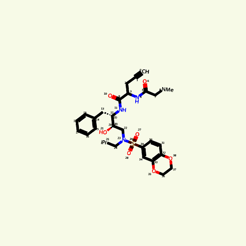 C#CCC(NC(=O)CNC)C(=O)N[C@@H](Cc1ccccc1)[C@H](O)CN(CC(C)C)S(=O)(=O)c1ccc2c(c1)OCCO2